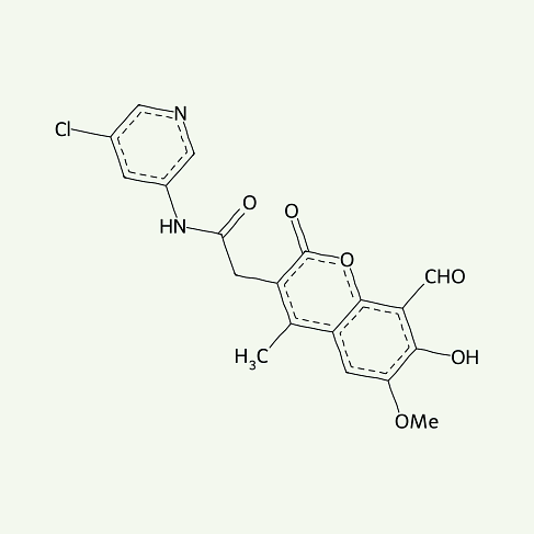 COc1cc2c(C)c(CC(=O)Nc3cncc(Cl)c3)c(=O)oc2c(C=O)c1O